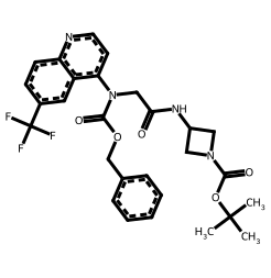 CC(C)(C)OC(=O)N1CC(NC(=O)CN(C(=O)OCc2ccccc2)c2ccnc3ccc(C(F)(F)F)cc23)C1